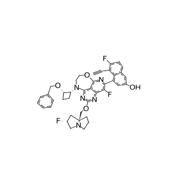 C#Cc1c(F)ccc2cc(O)cc(-c3nc4c5c(nc(OC[C@@]67CCCN6C[C@H](F)C7)nc5c3F)N([C@@H]3CC[C@@H]3OCc3ccccc3)CCO4)c12